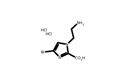 Cl.Cl.NCCn1cc(Br)nc1C(=O)O